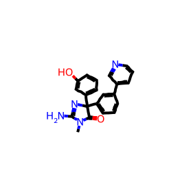 CN1C(=O)C(c2cccc(O)c2)(c2cccc(-c3cccnc3)c2)N=C1N